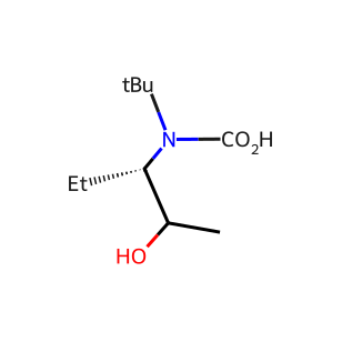 CC[C@@H](C(C)O)N(C(=O)O)C(C)(C)C